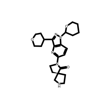 O=C1N(c2ccc3c(n2)c(C2CCOCC2)nn3C2CCCCO2)CC[C@]12CCNC2